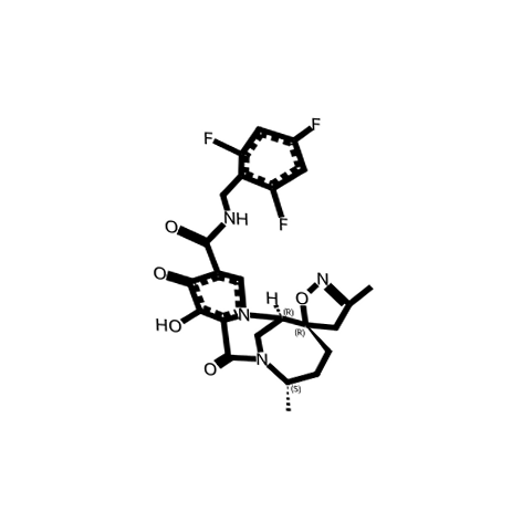 CC1=NO[C@]2(CC[C@H](C)N3C[C@H]2n2cc(C(=O)NCc4c(F)cc(F)cc4F)c(=O)c(O)c2C3=O)C1